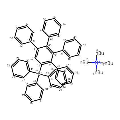 CCCC[N+](CCCC)(CCCC)CCCC.c1ccc(-c2cc([B-](c3ccccc3)(c3ccccc3)c3ccccc3)c(-c3ccccc3)c(-c3ccccc3)c2-c2ccccc2)cc1